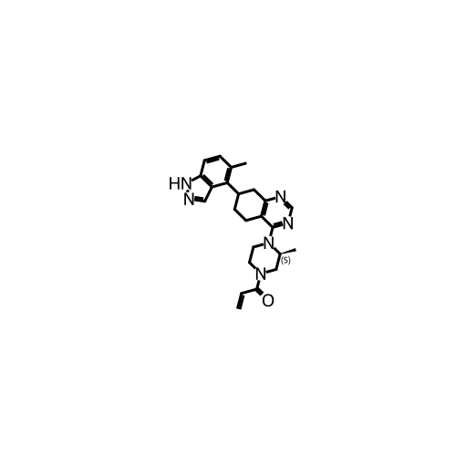 C=CC(=O)N1CCN(c2ncnc3c2CCC(c2c(C)ccc4[nH]ncc24)C3)[C@@H](C)C1